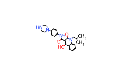 CC(C)Cn1c(=O)c(C(=O)Nc2ccc(N3CCNCC3)cc2)c(O)c2ccccc21